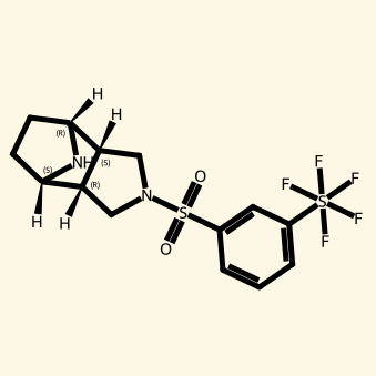 O=S(=O)(c1cccc(S(F)(F)(F)(F)F)c1)N1C[C@@H]2[C@H](C1)[C@@H]1CC[C@H]2N1